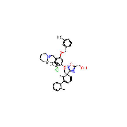 Cc1ccccc1C1=CC=CC(COc2cc(OCc3cccc(C#N)c3)c(CN3CCCC[C@H]3C(=O)O)cc2Cl)(c2noc(CO)n2)C1C